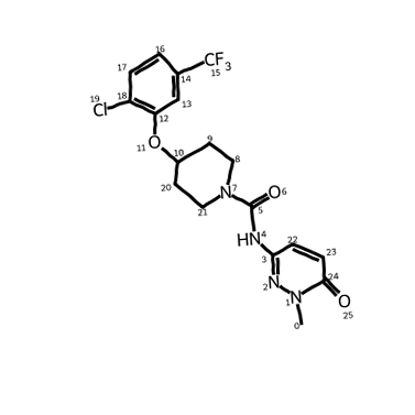 Cn1nc(NC(=O)N2CCC(Oc3cc(C(F)(F)F)ccc3Cl)CC2)ccc1=O